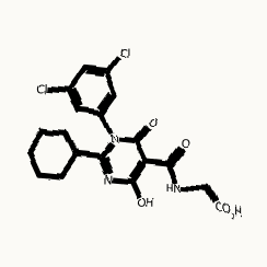 O=C(O)CNC(=O)c1c(O)nc(C2CCCCC2)n(-c2cc(Cl)cc(Cl)c2)c1=O